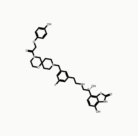 O=C(COc1ccc(O)cc1)N1CCOC2(CCN(Cc3cc(F)cc(CCNC[C@H](O)c4ccc(O)c5[nH]c(=O)sc45)c3)CC2)C1